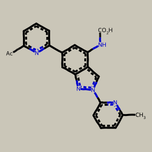 CC(=O)c1cccc(-c2cc(NC(=O)O)c3cn(-c4cccc(C)n4)nc3c2)n1